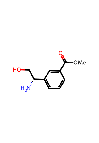 COC(=O)c1cccc([C@H](N)CO)c1